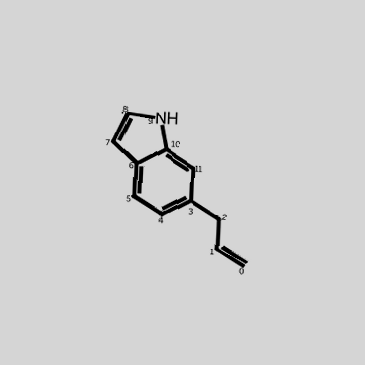 C=CCc1ccc2c[c][nH]c2c1